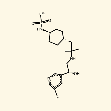 CCCS(=O)(=O)N[C@H]1CC[C@H](CC(C)(C)NC[C@H](O)c2cncc(F)c2)CC1